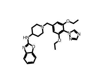 CCOc1cc(CN2CCC(Nc3nc4ccccc4o3)CC2)cc(OCC)c1-n1cncn1